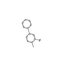 Cc1ccc(-c2ccccc2)cc1F